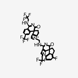 O=C1N=C(NCC(F)(F)F)c2ccc(C(F)(F)F)cc2C12CCc1c2ccc[n+]1CNC1=NC(=O)C2(CCc3c(F)cccc32)c2nc(C(F)(F)F)ccc21